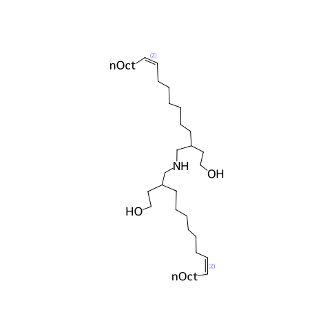 CCCCCCCC/C=C\CCCCCCC(CCO)CNCC(CCO)CCCCCC/C=C\CCCCCCCC